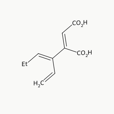 C=CC(=CCC)/C(=C/C(=O)O)C(=O)O